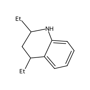 CCC1CC(CC)c2ccccc2N1